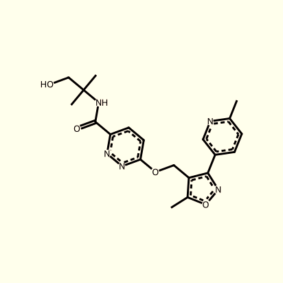 Cc1ccc(-c2noc(C)c2COc2ccc(C(=O)NC(C)(C)CO)nn2)cn1